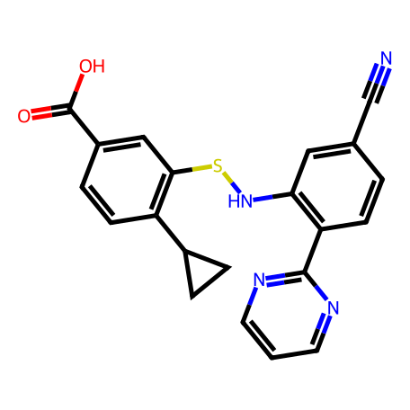 N#Cc1ccc(-c2ncccn2)c(NSc2cc(C(=O)O)ccc2C2CC2)c1